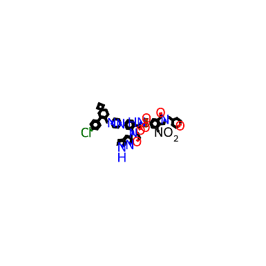 O=C(NS(=O)(=O)c1cc2c(c([N+](=O)[O-])c1)CN(CC1CCOCC1)C2=O)c1ccc(N2CCN(CC3=C(c4ccc(Cl)cc4)CC4(CCC4)CC3)CC2)cc1N1CCOc2nc3[nH]ccc3cc21